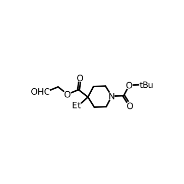 CCC1(C(=O)OCC=O)CCN(C(=O)OC(C)(C)C)CC1